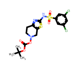 CC(C)(C)OC(=O)ON1CCc2nc(NS(=O)(=O)c3cc(Cl)cc(Cl)c3)sc2C1